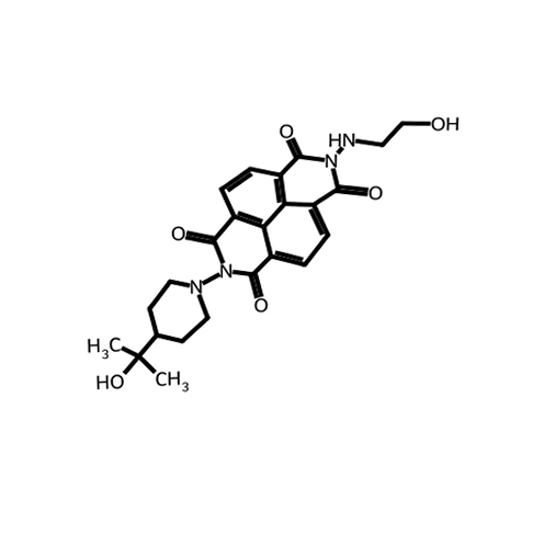 CC(C)(O)C1CCN(N2C(=O)c3ccc4c5c(ccc(c35)C2=O)C(=O)N(NCCO)C4=O)CC1